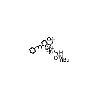 CCCCNC(=O)CCCN(C1CC(C)(C)Oc2ccc(OCc3ccccc3)cc21)S(C)(=O)=O